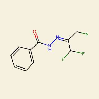 O=C(NN=C(CF)C(F)F)c1ccccc1